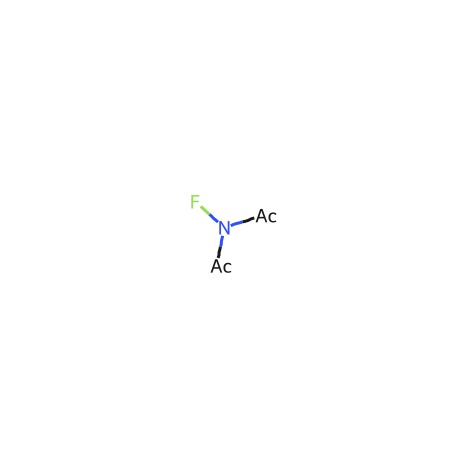 [CH2]C(=O)N(F)C(C)=O